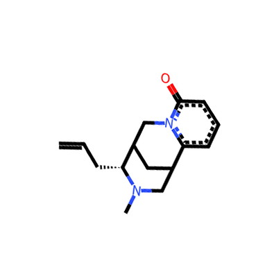 C=CC[C@@H]1C2CC(CN1C)c1cccc(=O)n1C2